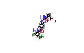 CC1(NC(=O)CN2CC3(CCC(C(=O)Nc4cc(F)cc(C(F)F)c4)CC3)C2)CCC1